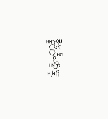 CC(=O)O[C@@H]1[C@@H](O)CN[C@@H]1Cc1ccc(OCC(=O)N[C@@H](CN)C(=O)O)cc1.Cl